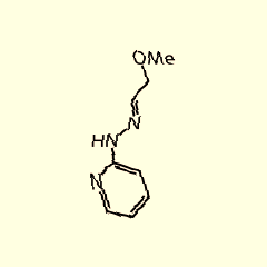 COCC=NNc1ccccn1